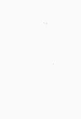 CCCC/C(=C(/C(=O)O)c1ccccc1C#N)C1COCOC1c1ccccc1